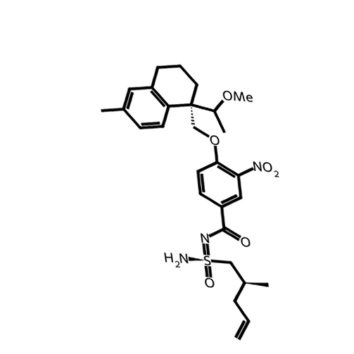 C=CC[C@H](C)C[S@](N)(=O)=NC(=O)c1ccc(OC[C@@]2(C(C)OC)CCCc3cc(C)ccc32)c([N+](=O)[O-])c1